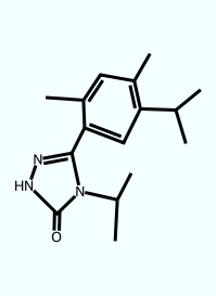 Cc1cc(C)c(C(C)C)cc1-c1n[nH]c(=O)n1C(C)C